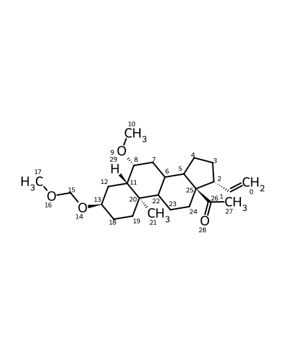 C=C[C@H]1CCC2C3C[C@@H](OC)[C@H]4C[C@H](OCOC)CC[C@]4(C)C3CC[C@]21C(C)=O